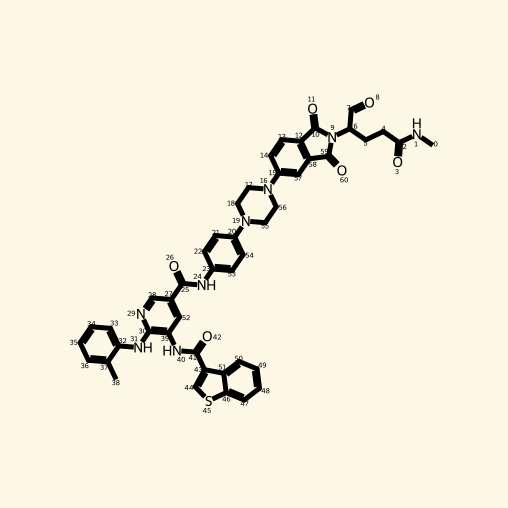 CNC(=O)CCC(C=O)N1C(=O)c2ccc(N3CCN(c4ccc(NC(=O)c5cnc(Nc6ccccc6C)c(NC(=O)c6csc7ccccc67)c5)cc4)CC3)cc2C1=O